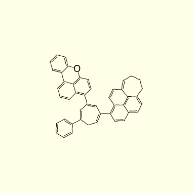 C1=C(c2ccccc2)CC=C(c2ccc3ccc4c5c(ccc2c35)=CCCC4)C=C1c1ccc2c3c(cccc13)-c1ccccc1O2